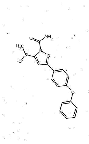 C[S+]([O-])c1cc(-c2ccc(Oc3ccccc3)cc2)nn1C(N)=O